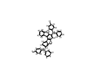 Cc1ccc(N(c2ccccc2)c2ccc3c(c2)oc2cc(N(c4ccccc4)c4ccc(C)cc4)c4oc5ccccc5c4c23)cc1